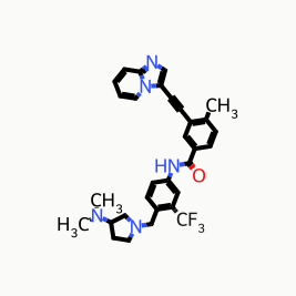 Cc1ccc(C(=O)Nc2ccc(CN3CCC(N(C)C)C3)c(C(F)(F)F)c2)cc1C#Cc1cnc2ccccn12